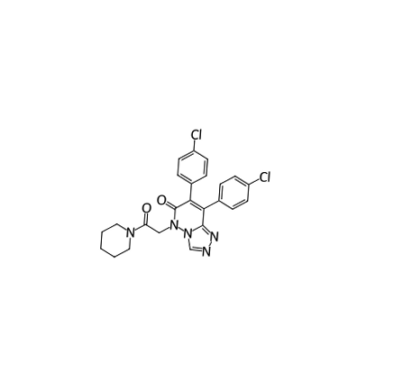 O=C(Cn1c(=O)c(-c2ccc(Cl)cc2)c(-c2ccc(Cl)cc2)c2nncn21)N1CCCCC1